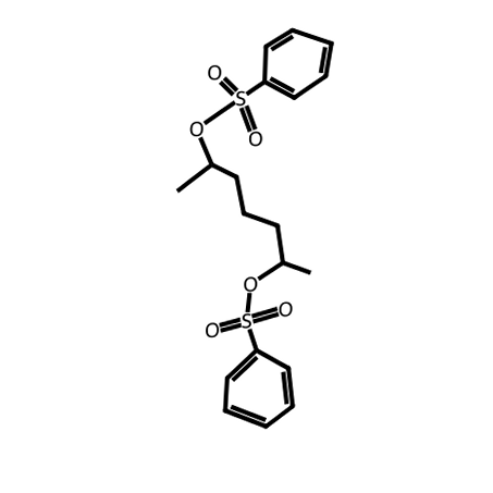 CC(CCCC(C)OS(=O)(=O)c1ccccc1)OS(=O)(=O)c1ccccc1